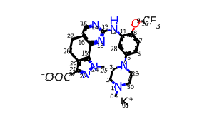 CN1CCN(c2ccc(OC(F)(F)F)c(Nc3ncc4c(n3)-c3c(c(C(=O)[O-])nn3C)CC4)c2)CC1.[K+]